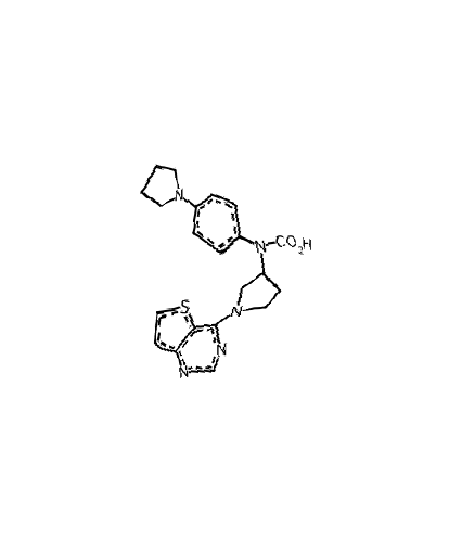 O=C(O)N(c1ccc(N2CCCC2)cc1)C1CCN(c2ncnc3ccsc23)C1